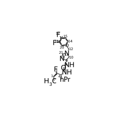 C/C=C(/F)C(CCC)NONC1CN(Cc2ccc(F)c(F)c2)C=N1